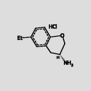 CCc1ccc2c(c1)C[C@@H](N)CO2.Cl